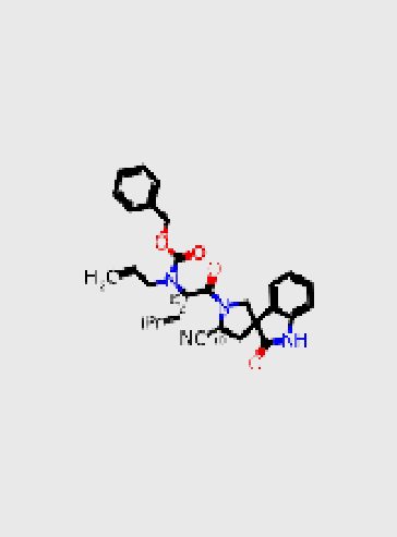 C=CCN(C(=O)OCc1ccccc1)[C@@H](CC(C)C)C(=O)N1CC2(C[C@H]1C#N)C(=O)Nc1ccccc12